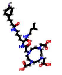 CC(C)CCNC(=O)[C@H](CCCCNC(=O)CCCc1ccc(I)cc1)NC(=O)CN1CCN(CC(=O)O)CCN(CC(=O)O)CCN(CC(=O)O)CC1